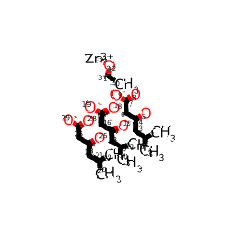 CC(C)CC(=O)CC(=O)[O-].CC(C)CC(=O)CC(=O)[O-].CC(C)CC(=O)CC(=O)[O-].CC[O][Zr+3]